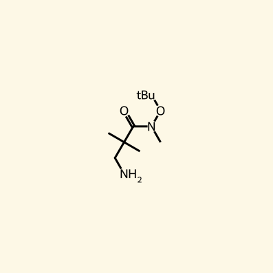 CN(OC(C)(C)C)C(=O)C(C)(C)CN